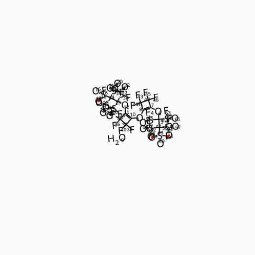 O.O=S(=O)(F)C(OC1=C(OC2=C(OC(C(S(=O)(=O)F)(S(=O)(=O)F)S(=O)(=O)F)(S(=O)(=O)F)S(=O)(=O)F)C(F)(F)C2(F)F)C(F)(F)C1(F)F)(C(S(=O)(=O)F)(S(=O)(=O)F)S(=O)(=O)F)S(=O)(=O)F